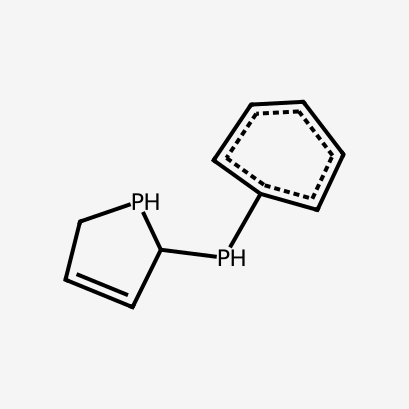 C1=CC(Pc2ccccc2)PC1